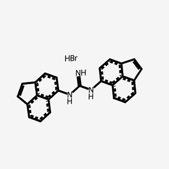 Br.N=C(Nc1ccc2c3c(cccc13)C=C2)Nc1ccc2c3c(cccc13)C=C2